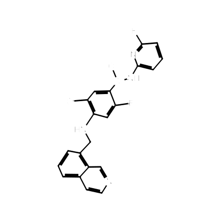 [O-][S+](Nc1cccc(F)n1)c1cc(Cl)c(NCc2cccc3ccncc23)cc1F